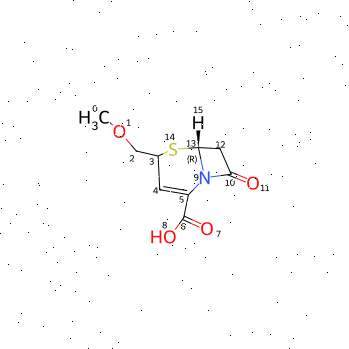 COCC1C=C(C(=O)O)N2C(=O)C[C@H]2S1